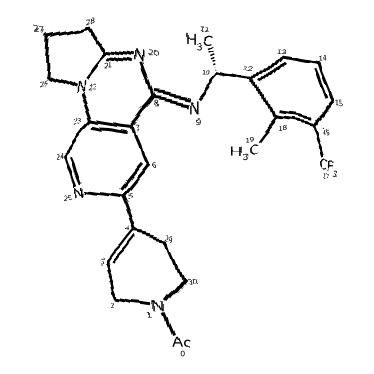 CC(=O)N1CC=C(c2cc3/c(=N/[C@H](C)c4cccc(C(F)(F)F)c4C)nc4n(c3cn2)CCC4)CC1